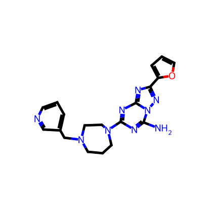 Nc1nc(N2CCCN(Cc3cccnc3)CC2)nc2nc(-c3ccco3)nn12